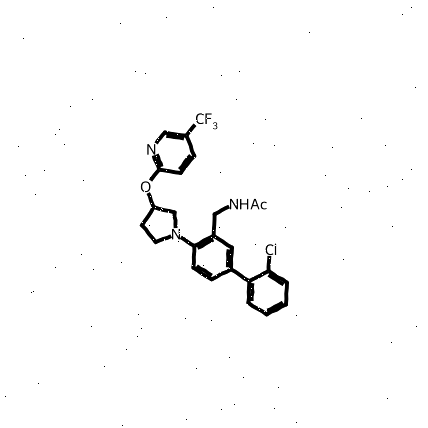 CC(=O)NCc1cc(-c2ccccc2Cl)ccc1N1CCC(Oc2ccc(C(F)(F)F)cn2)C1